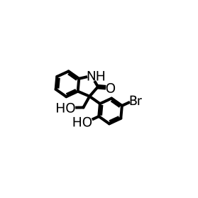 O=C1Nc2ccccc2C1(CO)c1cc(Br)ccc1O